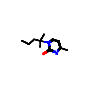 CCCC(C)(C)n1ccc(C)nc1=O